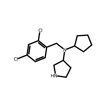 Clc1ccc(CN(C2CCCC2)C2CCNC2)c(Cl)c1